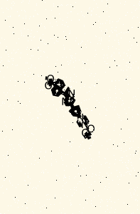 COC(=O)c1cccc2c(-c3cnn4cc(-c5ccc(N6CCN(C(=O)OC(C)(C)C)CC6)cc5)cnc34)cccc12